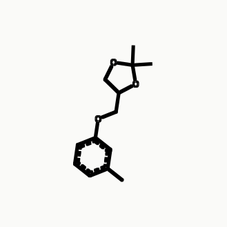 Cc1cccc(OCC2COC(C)(C)O2)c1